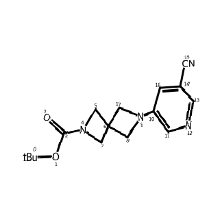 CC(C)(C)OC(=O)N1CC2(C1)CN(c1cncc(C#N)c1)C2